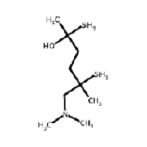 CN(C)CC(C)([SiH3])CCC(C)(O)[SiH3]